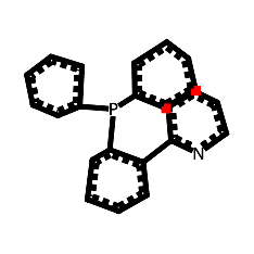 c1ccc(P(c2ccccc2)c2ccccc2-c2ncccn2)cc1